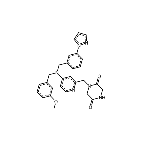 COc1cccc(CN(Cc2cccc(-n3cccn3)c2)c2ccnc(CN3CC(=O)NCC3=O)c2)c1